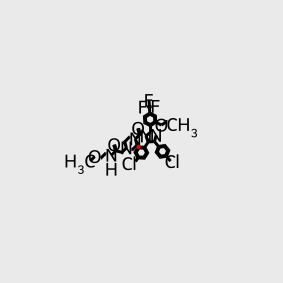 CCOc1cc(C(F)(F)F)ccc1C1=NC(c2ccc(Cl)cc2)C(c2ccc(Cl)cc2)N1C(=O)N1CCN(CC(=O)NCCOC)CC1